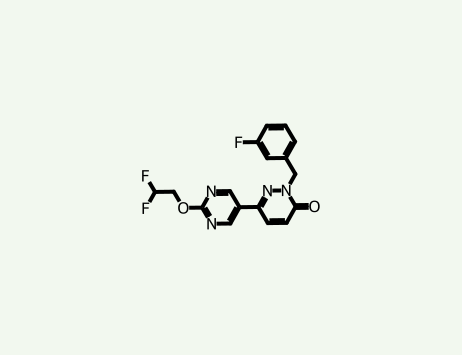 O=c1ccc(-c2cnc(OCC(F)F)nc2)nn1Cc1cccc(F)c1